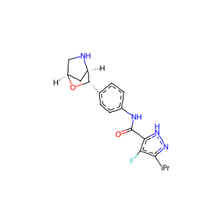 CC(C)c1n[nH]c(C(=O)Nc2ccc([C@@H]3O[C@H]4CN[C@@H]3C4)cc2)c1F